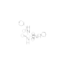 O=C(Cc1ccccc1)N[C@@H]1C(=O)N[C@@H]1S(=O)(=O)NCc1ccccc1